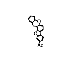 CC(=O)c1ccc2c(c1)oc1c3c(ccc12)Oc1ccccc1C3